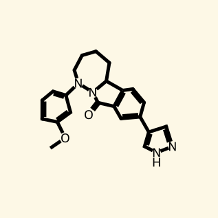 COc1cccc(N2CCCCC3c4ccc(-c5cn[nH]c5)cc4C(=O)N32)c1